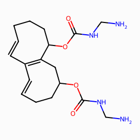 NCNC(=O)OC1CC/C=C/C2=C(C1)C(OC(=O)NCN)CCC/C=C/2